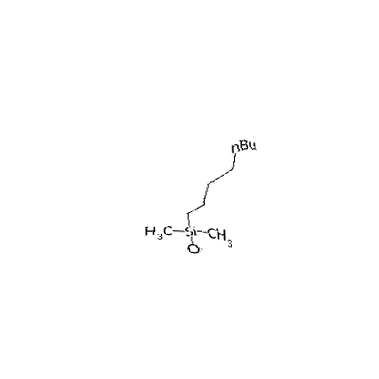 CCCCCCCC[Si](C)(C)[O]